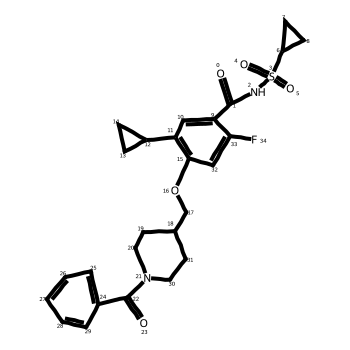 O=C(NS(=O)(=O)C1CC1)c1cc(C2CC2)c(OCC2CCN(C(=O)c3ccccc3)CC2)cc1F